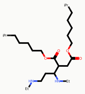 CCNCCC(NCC)C(CC(=O)OCCCCCC(C)C)C(=O)OCCCCCC(C)C